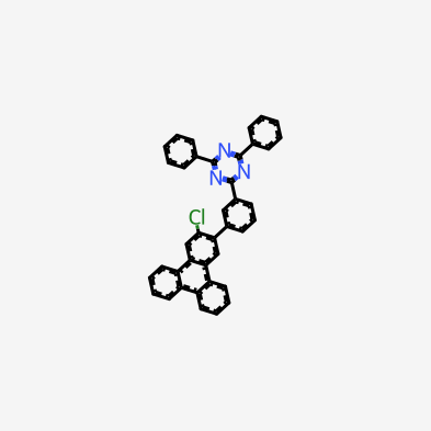 Clc1cc2c3ccccc3c3ccccc3c2cc1-c1cccc(-c2nc(-c3ccccc3)nc(-c3ccccc3)n2)c1